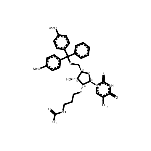 COc1ccc(C(OC[C@H]2O[C@@H](n3cc(C)c(=O)[nH]c3=S)[C@H](OCCCNC(=O)C(F)(F)F)[C@@H]2O)(c2ccccc2)c2ccc(OC)cc2)cc1